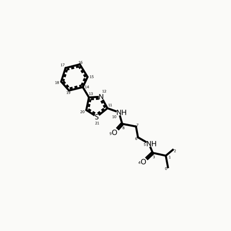 CC(C)C(=O)NCCC(=O)Nc1nc(-c2ccccc2)cs1